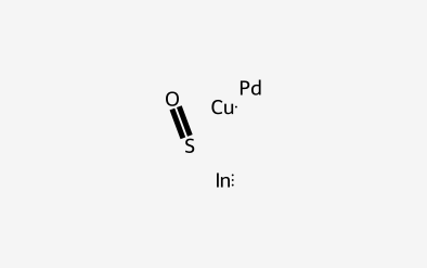 O=S.[Cu].[In].[Pd]